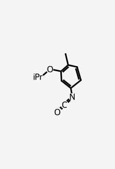 Cc1ccc(N=C=O)cc1OC(C)C